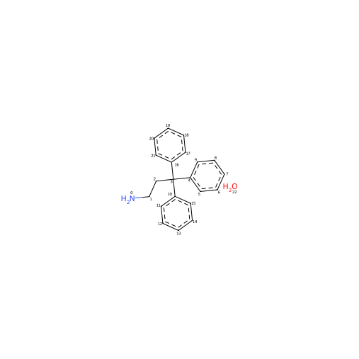 NCCC(c1ccccc1)(c1ccccc1)c1ccccc1.O